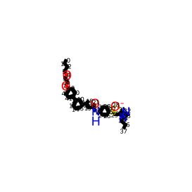 CCCCOCCOc1ccc(-c2cccc(/C(C)=C/C(=O)Nc3ccc([S@+]([O-])Cc4cncn4CCC)cc3)c2)cc1